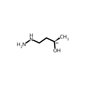 C[C@@H](O)CCNN